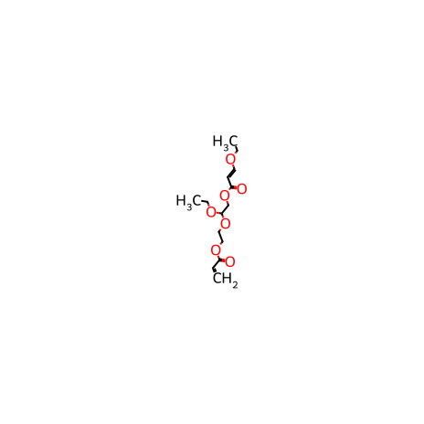 C=CC(=O)OCCOC(COC(=O)C=COCC)OCC